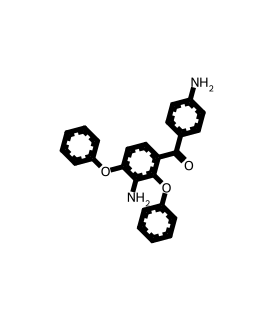 Nc1ccc(C(=O)c2ccc(Oc3ccccc3)c(N)c2Oc2ccccc2)cc1